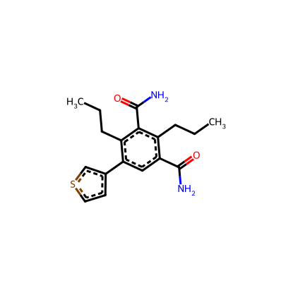 CCCc1c(C(N)=O)cc(-c2ccsc2)c(CCC)c1C(N)=O